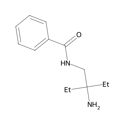 CCC(N)(CC)CNC(=O)c1ccccc1